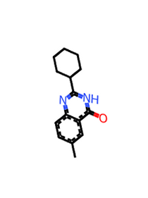 Cc1ccc2nc(C3CCCCC3)[nH]c(=O)c2c1